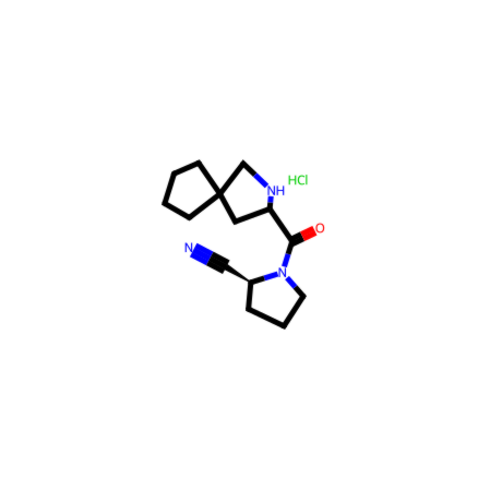 Cl.N#C[C@@H]1CCCN1C(=O)C1CC2(CCCC2)CN1